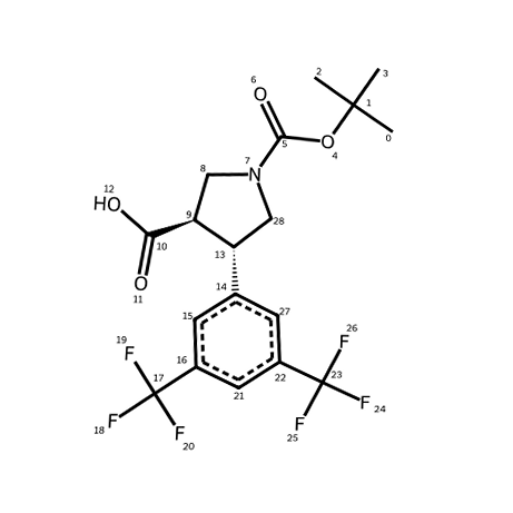 CC(C)(C)OC(=O)N1C[C@H](C(=O)O)[C@@H](c2cc(C(F)(F)F)cc(C(F)(F)F)c2)C1